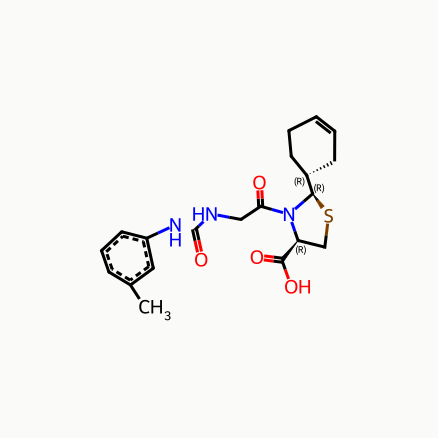 Cc1cccc(NC(=O)NCC(=O)N2[C@@H]([C@H]3CC=CCC3)SC[C@H]2C(=O)O)c1